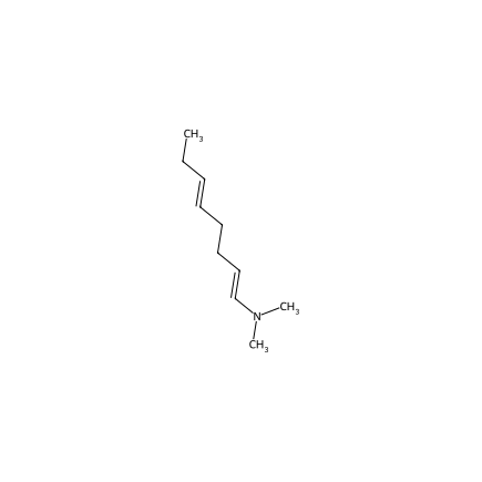 CC/C=C/CC/C=C/N(C)C